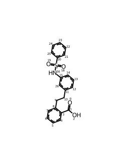 O=C(O)c1ccccc1CCc1cccc(NS(=O)(=O)c2ccccc2)c1